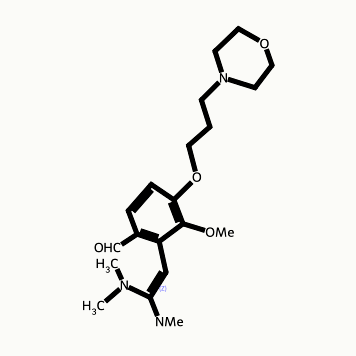 CN/C(=C/c1c(C=O)ccc(OCCCN2CCOCC2)c1OC)N(C)C